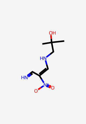 CC(C)(O)CN/C=C(\C=N)[N+](=O)[O-]